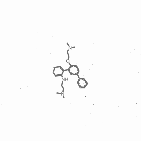 CN(C)CCNC1=CC[CH]C=C1c1cc(-c2ccccc2)ccc1OCCN(C)C